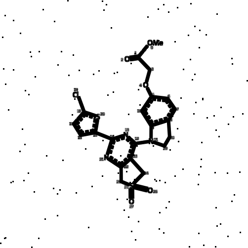 COC(=O)COc1ccc2c(c1)N(c1nc(-c3ccc(Cl)s3)nc3c1CS(=O)(=O)C3)CC2